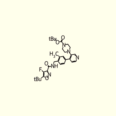 Cc1cc(-c2ccncc2N2CCN(C(=O)OC(C)(C)C)CC2)ccc1CNC(=O)c1noc(C(C)(C)C)c1F